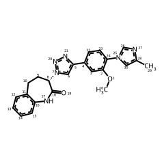 COc1cc(-c2cn([C@H]3CCc4ccccc4NC3=O)nn2)ccc1-n1cnc(C)c1